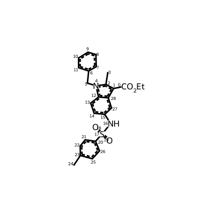 CCOC(=O)c1c(C)n(Cc2ccccc2)c2ccc(NS(=O)(=O)c3ccc(C)cc3)cc12